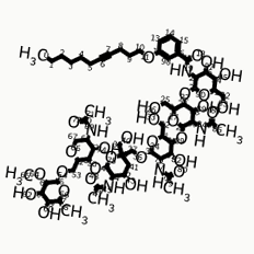 CCCCCCC#CCCCOc1cccc(C(=O)NC2C(O[C@@H]3C(CO)OC(OC4C(CO)O[C@@H](OCC5(CO)CC(O)C(NC(C)=O)[C@H](OC6C(CO[C@@H]7OC(C)C(O)C(O)C7OC)OC[C@@H](NC(C)=O)[C@H]6O)O5)[C@@H](NC(C)=O)[C@H]4O)C(NC(C)=O)C3O)OC(CO)[C@@H](O)C2O)c1